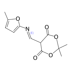 Cc1ccc(/N=C/C2C(=O)OC(C)(C)OC2=O)o1